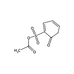 CC(=O)OS(=O)(=O)C1=CC=CCC1=O